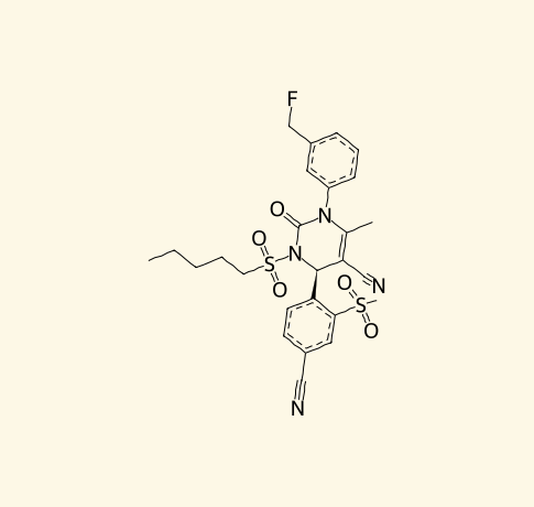 CCCCCS(=O)(=O)N1C(=O)N(c2cccc(CF)c2)C(C)=C(C#N)[C@H]1c1ccc(C#N)cc1S(C)(=O)=O